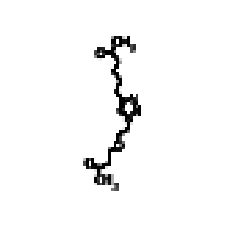 CC(=O)CCCCc1cn(CCOCCC(C)=O)nn1